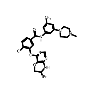 CC(C)C1COc2c(ncnc2Oc2cc(C(=O)Nc3cc(N4CCN(C)CC4)cc(C(F)(F)F)c3)ccc2Cl)N1